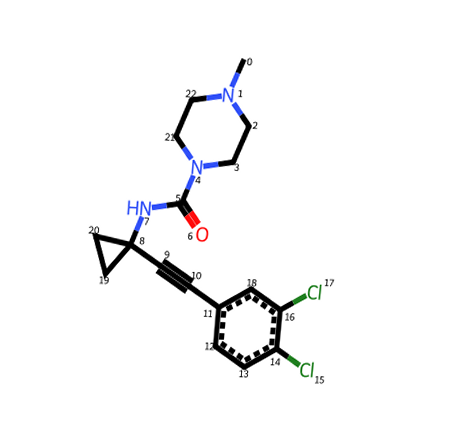 CN1CCN(C(=O)NC2(C#Cc3ccc(Cl)c(Cl)c3)CC2)CC1